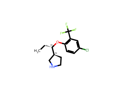 CC[C@H](Oc1ccc(Cl)cc1C(F)(F)F)[C@H]1CCNC1